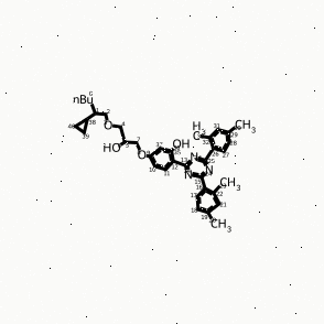 CCCCC(COCC(O)COc1ccc(-c2nc(-c3ccc(C)cc3C)nc(-c3ccc(C)cc3C)n2)c(O)c1)C1CC1